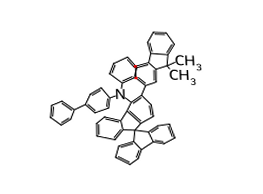 CC1(C)c2ccccc2-c2ccc(-c3ccc4c(c3N(c3ccccc3)c3ccc(-c5ccccc5)cc3)-c3ccccc3C43c4ccccc4-c4ccccc43)cc21